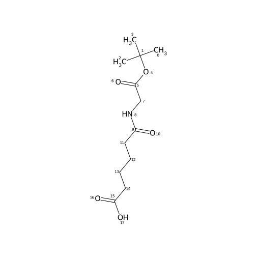 CC(C)(C)OC(=O)CNC(=O)CCCCC(=O)O